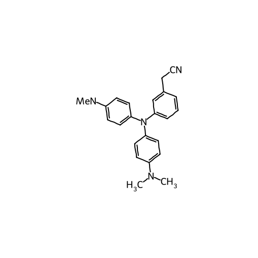 CNc1ccc(N(c2ccc(N(C)C)cc2)c2cccc(CC#N)c2)cc1